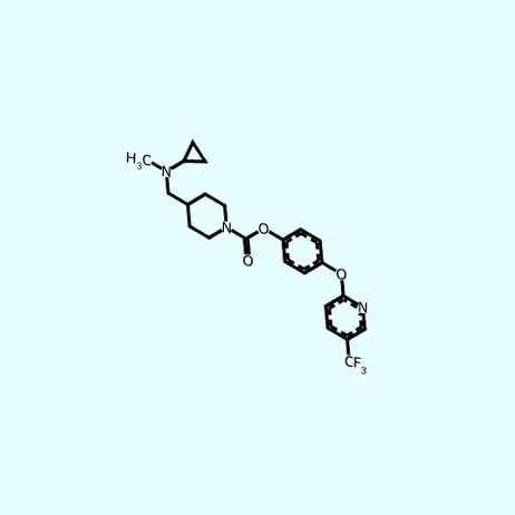 CN(CC1CCN(C(=O)Oc2ccc(Oc3ccc(C(F)(F)F)cn3)cc2)CC1)C1CC1